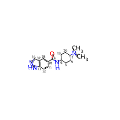 CN(C)C1CCC(NC(=O)c2ccc3[nH]ncc3c2)CC1